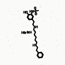 Br.Br.CS(=O)(=O)Nc1cc(CCNCCCCCCNCCc2ccccc2)ccc1O